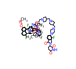 COCOc1cc(-c2ncc3c(N4CC5CCC(C4)N5C(=O)OC(C)(C)C)nc(OCCN4CCC(CN5CCC(CN6CCN(c7ccc8c(c7F)CN(C7CCC(=O)NC7=O)C8=O)CC6)CC5)CC4)nc3c2F)c2c(C#C[Si](C(C)C)(C(C)C)C(C)C)c(F)ccc2c1